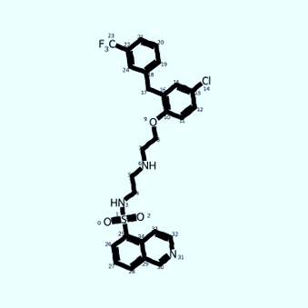 O=S(=O)(NCCNCCOc1ccc(Cl)cc1Cc1cccc(C(F)(F)F)c1)c1cccc2cnccc12